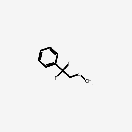 CSCC(F)(F)c1ccccc1